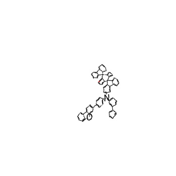 c1ccc(-c2cccc(N(c3ccc(-c4ccc5c(c4)oc4ccccc45)cc3)c3ccc4c(c3)-c3ccccc3C43c4ccccc4C4(c5ccccc5-c5ccccc54)c4ccccc43)c2)cc1